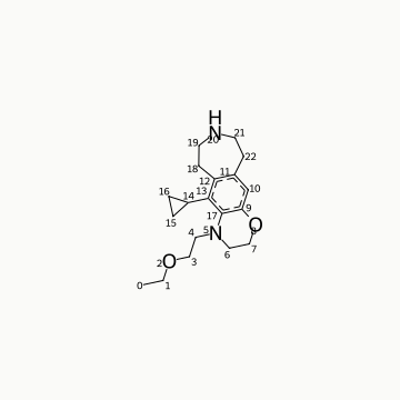 CCOCCN1CCOc2cc3c(c(C4CC4)c21)CCNCC3